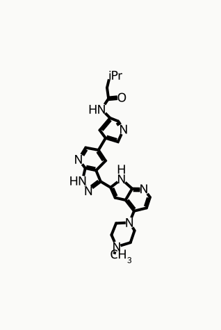 CC(C)CC(=O)Nc1cncc(-c2cnc3[nH]nc(-c4cc5c(N6CCN(C)CC6)ccnc5[nH]4)c3c2)c1